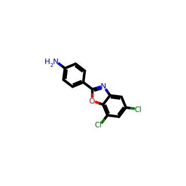 Nc1ccc(-c2nc3cc(Cl)cc(Cl)c3o2)cc1